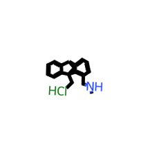 CCC12CC(c3ccccc31)c1cccc(CNC)c12.Cl